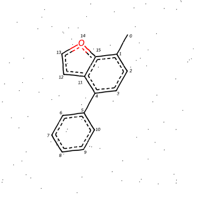 Cc1ccc(-c2ccccc2)c2ccoc12